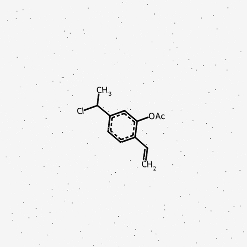 C=Cc1ccc(C(C)Cl)cc1OC(C)=O